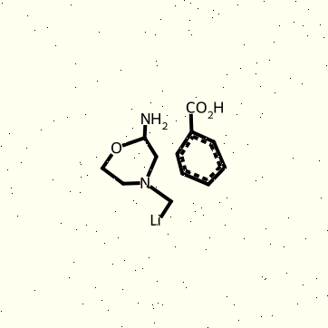 O=C(O)c1ccccc1.[Li][CH2]N1CCOC(N)C1